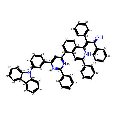 N=C(/C(=C1\NC(c2ccccc2)=Cc2c1cccc2-c1cc(-c2cccc(-n3c4ccccc4c4ccccc43)c2)nc(-c2ccccc2)n1)c1ccccc1)c1ccccc1